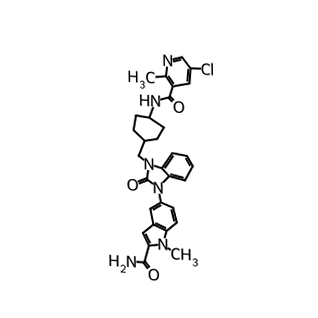 Cc1ncc(Cl)cc1C(=O)NC1CCC(Cn2c(=O)n(-c3ccc4c(c3)cc(C(N)=O)n4C)c3ccccc32)CC1